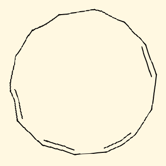 C1=CC=CCCCCCC=CCC=C1